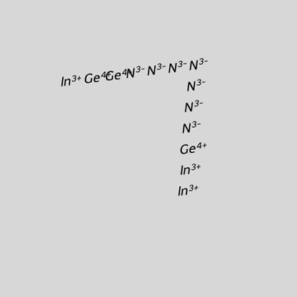 [Ge+4].[Ge+4].[Ge+4].[In+3].[In+3].[In+3].[N-3].[N-3].[N-3].[N-3].[N-3].[N-3].[N-3]